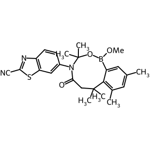 COB1OC(C)(C)N(c2ccc3nc(C#N)sc3c2)C(=O)CC(C)(C)c2c(C)cc(C)cc21